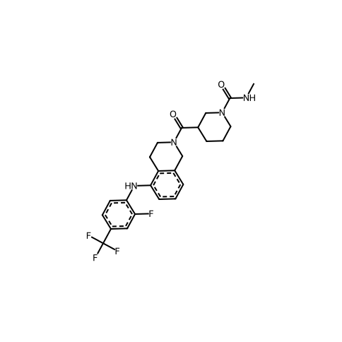 CNC(=O)N1CCCC(C(=O)N2CCc3c(cccc3Nc3ccc(C(F)(F)F)cc3F)C2)C1